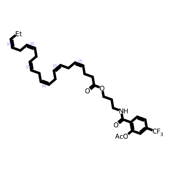 CC/C=C\C/C=C\C/C=C\C/C=C\C/C=C\C/C=C\CCC(=O)OCCCNC(=O)c1ccc(C(F)(F)F)cc1OC(C)=O